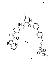 CS(=O)(=O)OCCCc1ccc(-c2cccc(Oc3ncc(F)cc3C(=O)N[C@H]3CC[C@H](NC(=O)c4cnn5cccnc45)CC3)c2)cc1